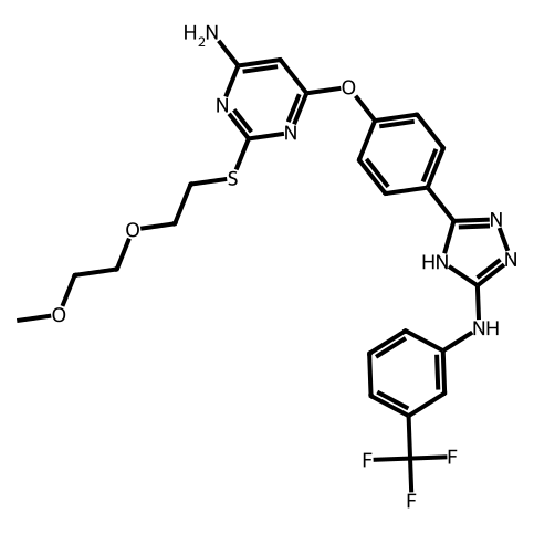 COCCOCCSc1nc(N)cc(Oc2ccc(-c3nnc(Nc4cccc(C(F)(F)F)c4)[nH]3)cc2)n1